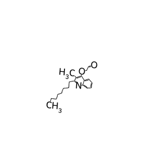 CCCCCCCCc1nc2ccccc2c(OCC=O)c1C